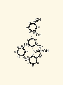 O=P(O)(Oc1ccccc1)Oc1ccccc1.Oc1cccc(O)c1.Oc1cccc(O)c1